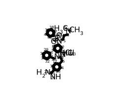 CN(C)CCCN(c1ccc2c(c1)nc(Cc1ccc(C(=N)N)cc1)n2Cc1ccccc1)S(=O)(=O)c1ccccc1.Cl.Cl